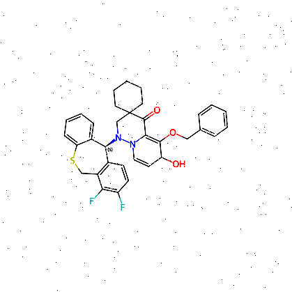 O=C1C2=C(OCc3ccccc3)C(O)C=CN2N([C@@H]2c3ccccc3SCc3c2ccc(F)c3F)CC12CCCCC2